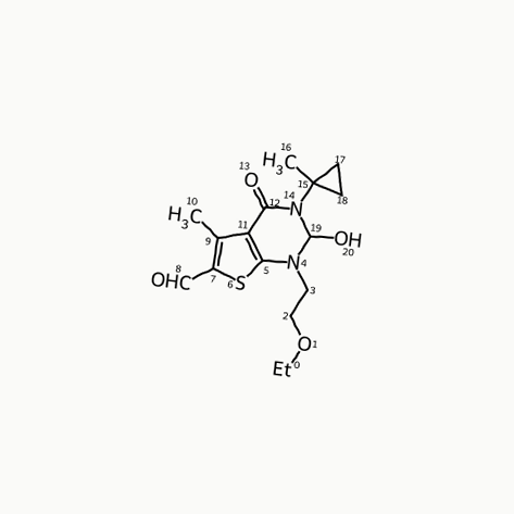 CCOCCN1c2sc(C=O)c(C)c2C(=O)N(C2(C)CC2)C1O